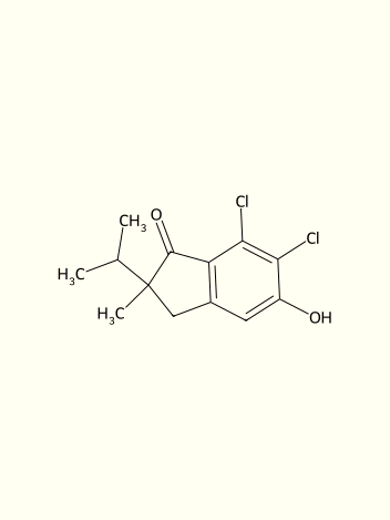 CC(C)C1(C)Cc2cc(O)c(Cl)c(Cl)c2C1=O